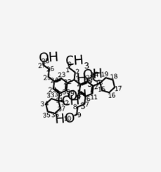 CCCC(c1cc(CCCO)cc(C2(C)CCCCC2)c1O)c1cc(CCCO)cc(C2(C)CCCCC2)c1O